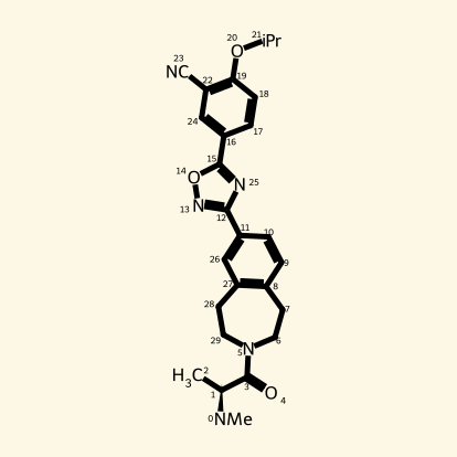 CN[C@@H](C)C(=O)N1CCc2ccc(-c3noc(-c4ccc(OC(C)C)c(C#N)c4)n3)cc2CC1